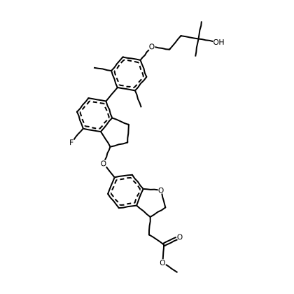 COC(=O)CC1COc2cc(OC3CCc4c(-c5c(C)cc(OCCC(C)(C)O)cc5C)ccc(F)c43)ccc21